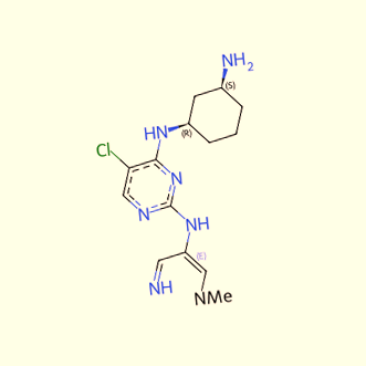 CN/C=C(\C=N)Nc1ncc(Cl)c(N[C@@H]2CCC[C@H](N)C2)n1